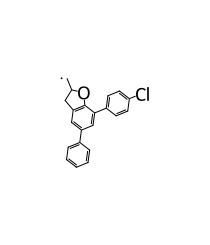 [CH2]C1Cc2cc(-c3ccccc3)cc(-c3ccc(Cl)cc3)c2O1